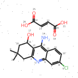 CC1(C)Cc2nc3cc(Cl)ccc3c(N)c2C(O)C1.O=C(O)C=CC(=O)O